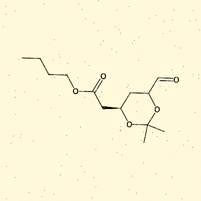 CCCCOC(=O)C[C@H]1CC(C=O)OC(C)(C)O1